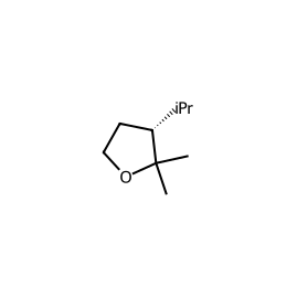 CC(C)[C@H]1CCOC1(C)C